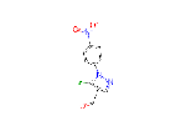 O=Cc1cnn(-c2ccc([N+](=O)[O-])cc2)c1Br